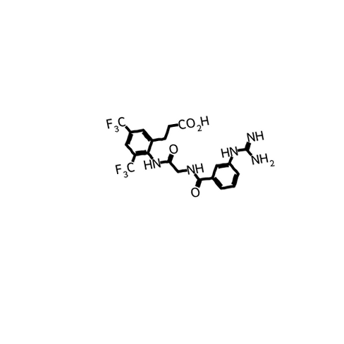 N=C(N)Nc1cccc(C(=O)NCC(=O)Nc2c(CCC(=O)O)cc(C(F)(F)F)cc2C(F)(F)F)c1